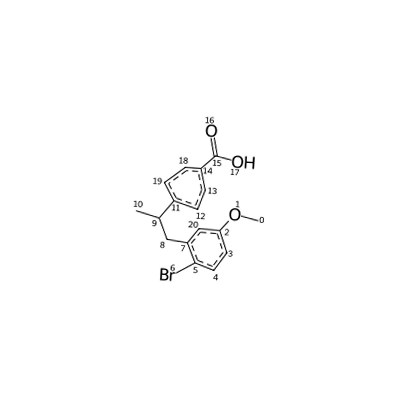 COc1ccc(Br)c(CC(C)c2ccc(C(=O)O)cc2)c1